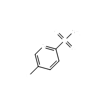 NS(=O)(=O)c1ccc(Cl)cn1